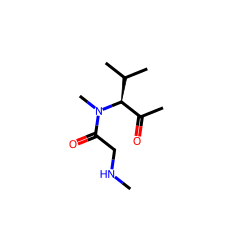 CNCC(=O)N(C)[C@H](C(C)=O)C(C)C